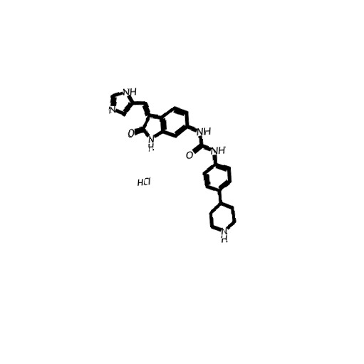 Cl.O=C(Nc1ccc(C2CCNCC2)cc1)Nc1ccc2c(c1)NC(=O)C2=Cc1cnc[nH]1